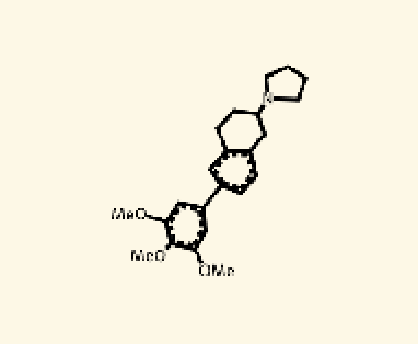 COc1cc(-c2ccc3c(c2)CCC(N2CCCC2)C3)cc(OC)c1OC